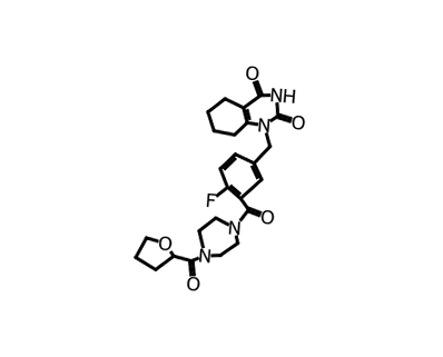 O=C(c1cc(Cn2c3c(c(=O)[nH]c2=O)CCCC3)ccc1F)N1CCN(C(=O)C2CCCO2)CC1